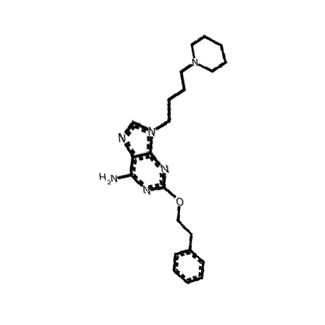 Nc1nc(OCCc2ccccc2)nc2c1ncn2CCCCN1CCCCC1